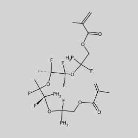 C=C(C)C(=O)OCC(F)(P)OC(F)(F)[C@](C)(F)OC(C)(F)[C@](F)(P)OC(F)(P)COC(=O)C(=C)C